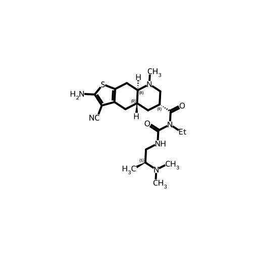 CCN(C(=O)NC[C@H](C)N(C)C)C(=O)[C@@H]1C[C@@H]2Cc3c(sc(N)c3C#N)C[C@H]2N(C)C1